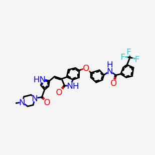 CN1CCN(C(=O)c2c[nH]c(C=C3C(=O)Nc4cc(Oc5cccc(NC(=O)c6cccc(C(F)(F)F)c6)c5)ccc43)c2)CC1